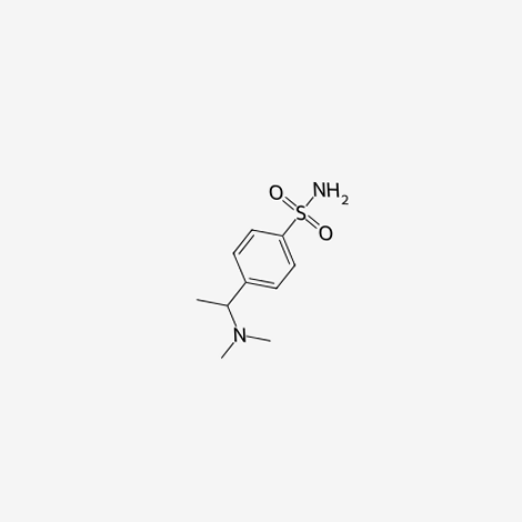 CC(c1ccc(S(N)(=O)=O)cc1)N(C)C